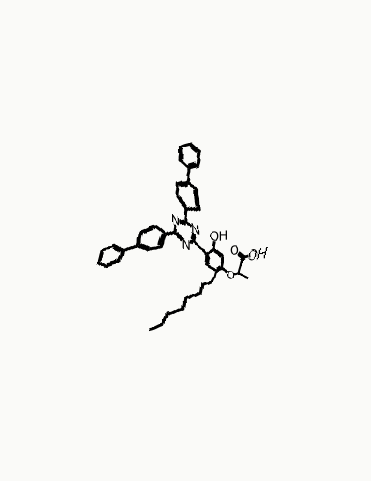 CCCCCCCCc1cc(-c2nc(-c3ccc(-c4ccccc4)cc3)nc(-c3ccc(-c4ccccc4)cc3)n2)c(O)cc1OC(C)C(=O)O